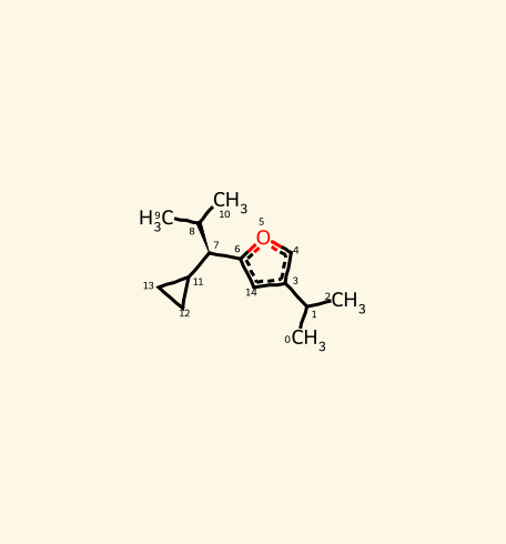 CC(C)c1coc([C@H](C(C)C)C2CC2)c1